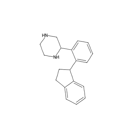 c1ccc2c(c1)CCC2c1ccccc1C1CNCCN1